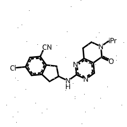 CC(C)N1CCc2nc(NC3Cc4cc(Cl)cc(C#N)c4C3)ncc2C1=O